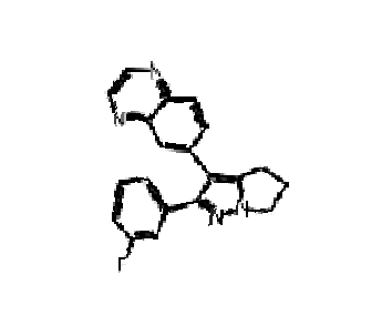 Fc1cccc(-c2nn3c(c2-c2ccc4nccnc4c2)CCC3)c1